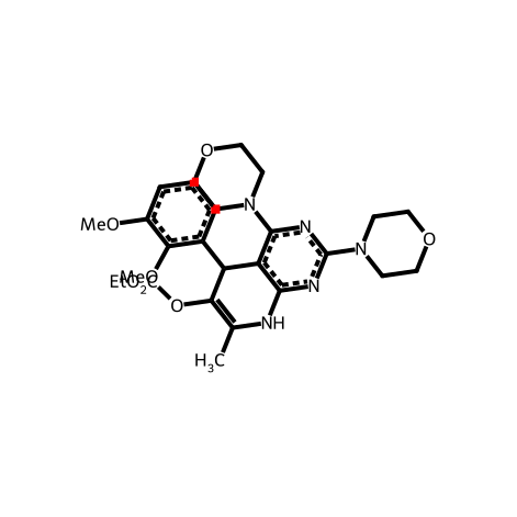 CCOC(=O)OC1=C(C)Nc2nc(N3CCOCC3)nc(N3CCOCC3)c2C1c1cccc(OC)c1OC